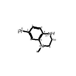 CC(C)c1ccc2c(c1)N(C)CCN2